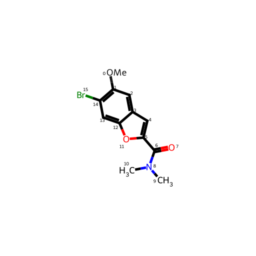 COc1cc2cc(C(=O)N(C)C)oc2cc1Br